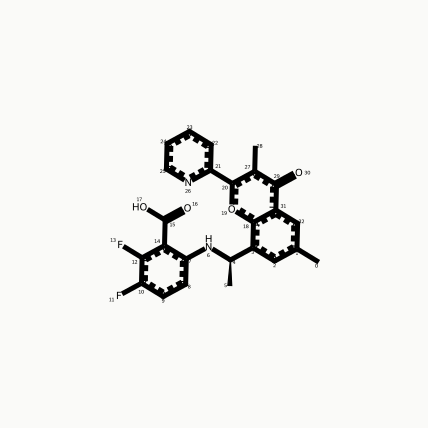 Cc1cc([C@@H](C)Nc2ccc(F)c(F)c2C(=O)O)c2oc(-c3ccccn3)c(C)c(=O)c2c1